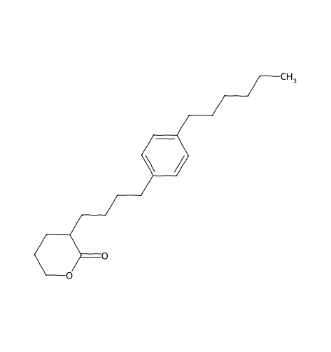 CCCCCCc1ccc(CCCCC2CCCOC2=O)cc1